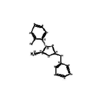 Cc1ccccc1[C@@H]1CN(Cc2ccccc2)C[C@H]1N